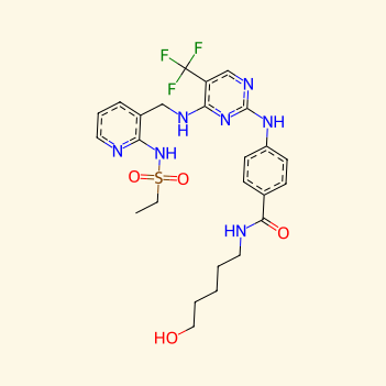 CCS(=O)(=O)Nc1ncccc1CNc1nc(Nc2ccc(C(=O)NCCCCCO)cc2)ncc1C(F)(F)F